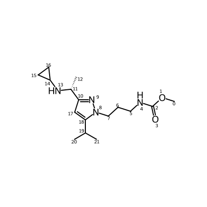 COC(=O)NCCCn1nc([C@@H](C)NC2CC2)cc1C(C)C